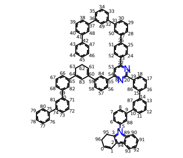 C1=Cc2c(n(-c3cccc(-c4cccc(-c5cccc(-c6nc(-c7ccc(-c8cccc(-c9cccc(-c%10cccc(-c%11ccccc%11)c%10)c9)c8)cc7)cc(-c7cccc(C8=CCCC(c9cccc(-c%10cccc(-c%11ccccc%11)c%10)c9)=C8)c7)n6)c5)c4)c3)c3ccccc23)CC1